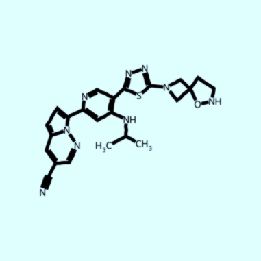 CC(C)Nc1cc(-c2ccc3cc(C#N)cnn23)ncc1-c1nnc(N2CC3(CCNO3)C2)s1